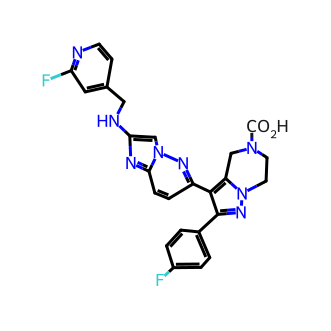 O=C(O)N1CCn2nc(-c3ccc(F)cc3)c(-c3ccc4nc(NCc5ccnc(F)c5)cn4n3)c2C1